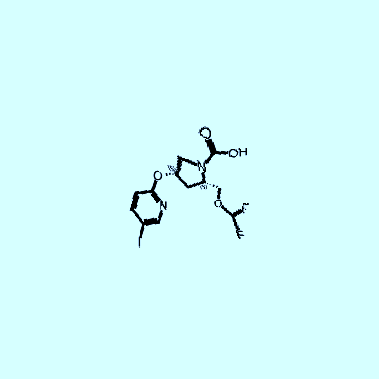 O=C(O)N1C[C@@H](Oc2ccc(I)cn2)C[C@H]1COC(F)F